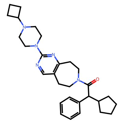 O=C(C(c1ccccc1)C1CCCC1)N1CCc2cnc(N3CCN(C4CCC4)CC3)nc2CC1